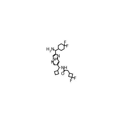 N[C@H](c1cn2ncc([C@H](NC(=O)CC3CC(F)(F)C3)C3CCC3)cc2n1)C1CCC(F)(F)CC1